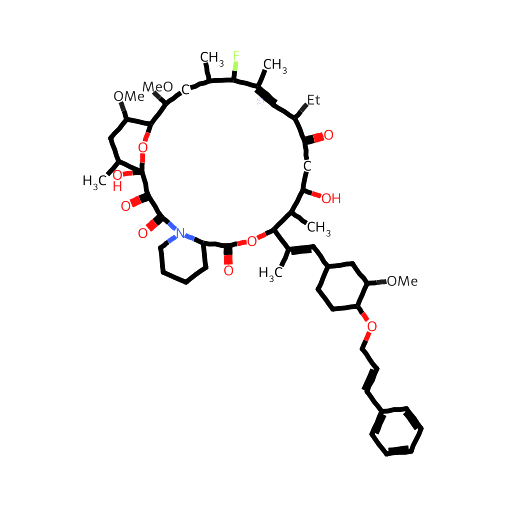 CCC1/C=C(\C)C(F)C(C)CC(OC)C2OC(O)(C(=O)C(=O)N3CCCCC3C(=O)OC(C(C)=CC3CCC(OCC=Cc4ccccc4)C(OC)C3)C(C)C(O)CC1=O)C(C)CC2OC